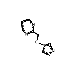 [c]1nnnn1OCc1ncccn1